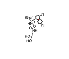 CC(C)(C)C[C@@H]1N[C@H](OC(=O)NCC[C@@H](O)CO)[C@H](c2cccc(Cl)c2)[C@@]1(C#N)c1ccc(Cl)cc1